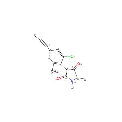 CC#Cc1cc(Cl)c(C2C(=O)C(C)N(C)C2=O)c(OC)c1